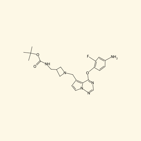 CC(C)(C)OC(=O)NCC1CN(Cc2ccn3ncnc(Oc4ccc(N)cc4F)c23)C1